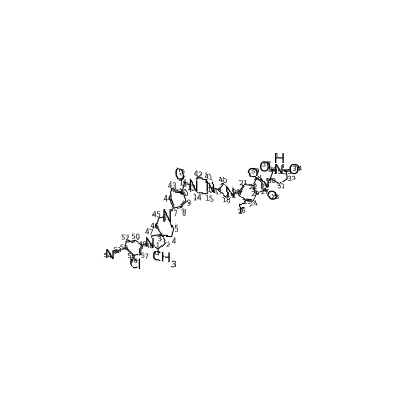 CC1CC2(CCN(c3ccc(C(=O)N4CCN(C5CN(c6cc7c(cc6F)C(=O)N(C6CCC(=O)NC6=O)C7=O)C5)CC4)cc3)CC2)CN1c1ccc(C#N)c(Cl)c1